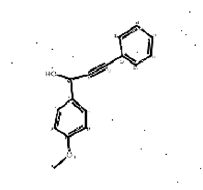 COc1ccc(C(O)C#Cc2ccccc2)cc1